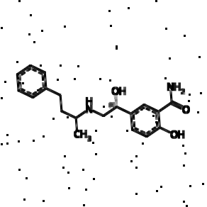 CC(CCc1ccccc1)NC[C@H](O)c1ccc(O)c(C(N)=O)c1